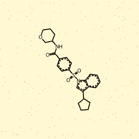 O=C(NC1CCCOC1)c1ccc(S(=O)(=O)n2cc(C3CCCC3)c3ccccc32)cc1